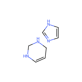 C1=CNCNC1.c1c[nH]cn1